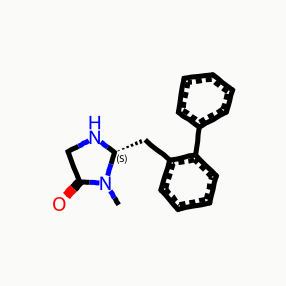 CN1C(=O)CN[C@@H]1Cc1ccccc1-c1ccccc1